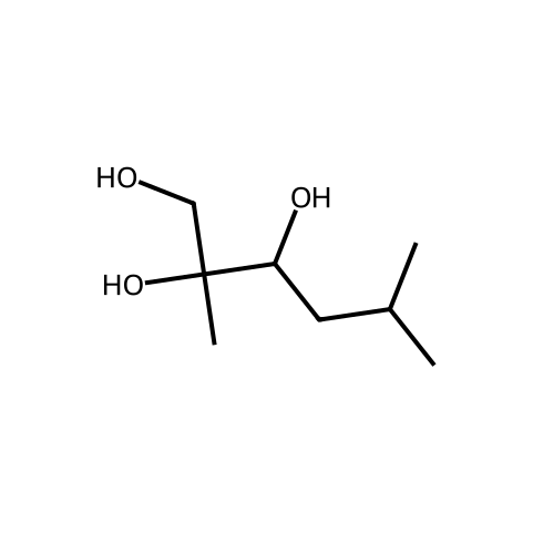 CC(C)CC(O)C(C)(O)CO